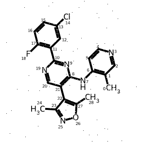 Cc1cnccc1Nc1nc(-c2cc(Cl)ccc2F)ncc1-c1c(C)noc1C